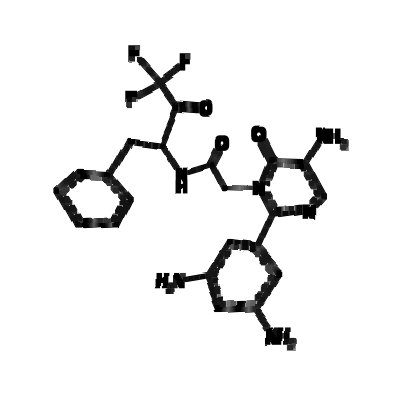 Nc1cc(N)cc(-c2ncc(N)c(=O)n2CC(=O)NC(Cc2ccccc2)C(=O)C(F)(F)F)c1